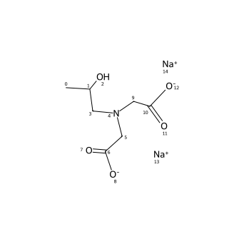 CC(O)CN(CC(=O)[O-])CC(=O)[O-].[Na+].[Na+]